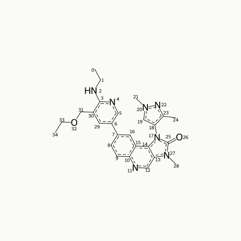 CCNc1ncc(-c2ccc3ncc4c(c3c2)n(-c2cn(C)nc2C)c(=O)n4C)cc1COCC